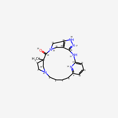 CC12CCN(CCCCc3cccc(n3)Nc3n[nH]c4c3CN(C4)C1=O)C2